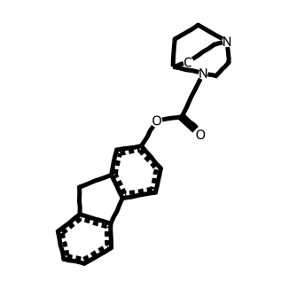 O=C(Oc1ccc2c(c1)Cc1ccccc1-2)N1CCN2CCC1CC2